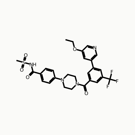 CCOc1cncc(-c2cc(C(=O)N3CCN(c4ccc(C(=O)NS(C)(=O)=O)cc4)CC3)cc(C(F)(F)F)c2)c1